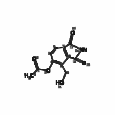 CC(=O)Oc1ccc2c(c1CO)C(=O)NC2=O